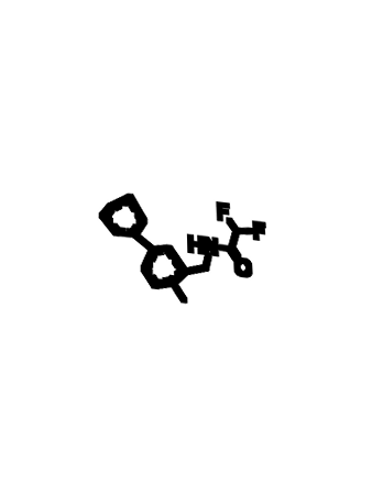 Cc1ccc(-c2ccccc2)cc1CNC(=O)C(F)F